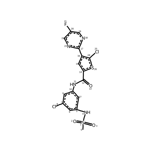 CS(=O)(=O)Nc1cc(Cl)cc(NC(=O)c2cc(-c3ncc(F)cn3)c(Cl)s2)c1